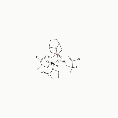 N#C[C@@H]1CCCN1C(=O)[C@@H](N)C1CC2CCC(C1)N2C(=O)c1cc(F)c(F)cc1F.O=C(O)C(F)(F)F